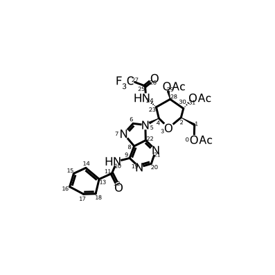 CC(=O)OC[C@H]1O[C@@H](n2cnc3c(NC(=O)c4ccccc4)ncnc32)[C@H](NC(=O)C(F)(F)F)[C@@H](OC(C)=O)[C@@H]1OC(C)=O